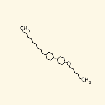 CCCCCCCCCCC1CCC([C@H]2CC[C@H](OCCCCCC)CC2)CC1